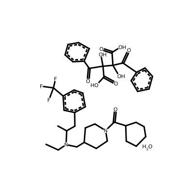 CCN(CC1CCN(C(=O)C2CCCCC2)CC1)C(C)Cc1cccc(C(F)(F)F)c1.O.O=C(O)C(O)(C(=O)c1ccccc1)C(O)(C(=O)O)C(=O)c1ccccc1